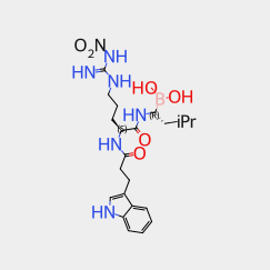 CC(C)C[C@H](NC(=O)[C@H](CCCNC(=N)N[N+](=O)[O-])NC(=O)CCc1c[nH]c2ccccc12)B(O)O